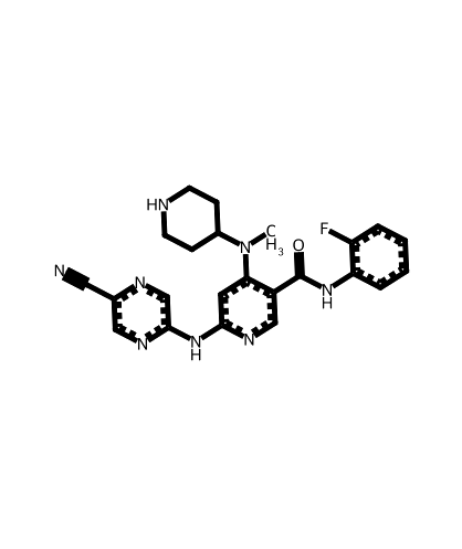 CN(c1cc(Nc2cnc(C#N)cn2)ncc1C(=O)Nc1ccccc1F)C1CCNCC1